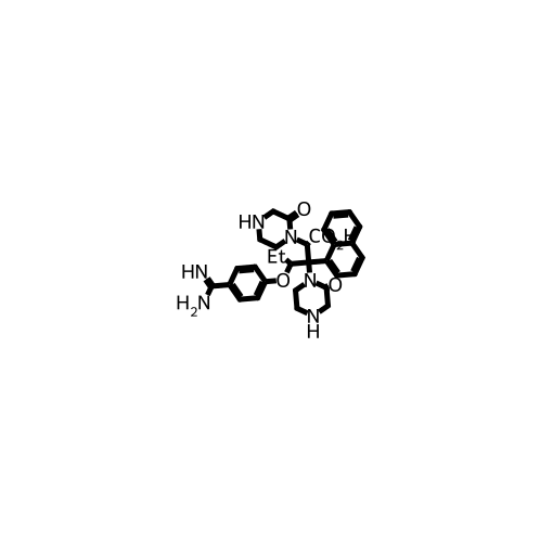 CCC(Oc1ccc(C(=N)N)cc1)C(c1cccc2ccccc12)(C(C(=O)O)N1CCNCC1=O)N1CCNCC1=O